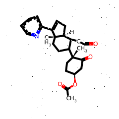 CC(=O)O[C@H]1CC[C@](C)(C2CC[C@]3(C)C(c4ccccn4)=CC[C@H]3C2CC=O)C(=O)C1